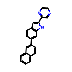 c1ccc2cc(-c3ccc4cc(-c5cnccn5)[nH]c4c3)ccc2c1